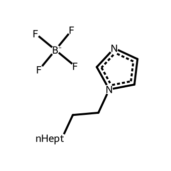 CCCCCCCCCn1ccnc1.F[B-](F)(F)F